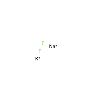 [F-].[F-].[K+].[Na+]